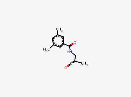 CC(=C=O)CNC(=O)c1cc(C)cc(C)c1